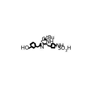 CC(C)(C)C(=O)N[C@@H](Cc1ccc(NS(=O)(=O)O)cc1)c1nc(Cc2cccc(CO)c2)cs1